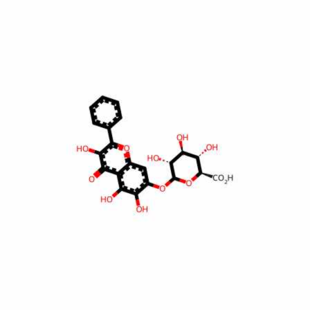 O=C(O)[C@H]1OC(Oc2cc3oc(-c4ccccc4)c(O)c(=O)c3c(O)c2O)[C@H](O)[C@@H](O)[C@@H]1O